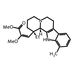 CC[C@@]1(C=C(OC)C(=O)OC)CCCN2CCc3c([nH]c4c(C)cccc34)[C@@H]21